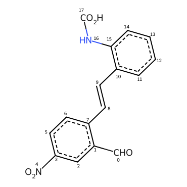 O=Cc1cc([N+](=O)[O-])ccc1/C=C/c1ccccc1NC(=O)O